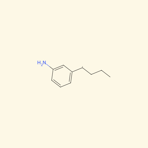 CCC[CH]c1cccc(N)c1